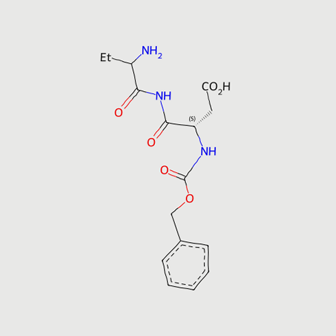 CCC(N)C(=O)NC(=O)[C@H](CC(=O)O)NC(=O)OCc1ccccc1